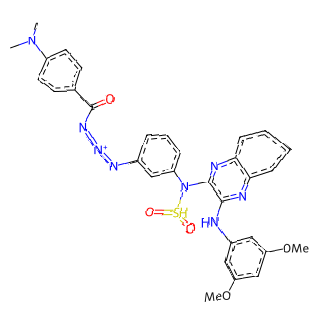 COc1cc(Nc2nc3ccccc3nc2N(c2cccc(N=[N+]=NC(=O)c3ccc(N(C)C)cc3)c2)[SH](=O)=O)cc(OC)c1